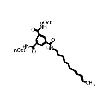 CC=CC=CCCCCCCNC(=O)c1cc(C(=O)NCCCCCCCC)cc(C(=O)NCCCCCCCC)c1